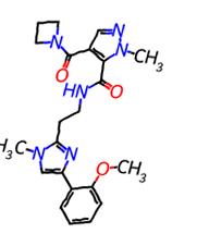 COc1ccccc1-c1cn(C)c(CCNC(=O)c2c(C(=O)N3CCC3)cnn2C)n1